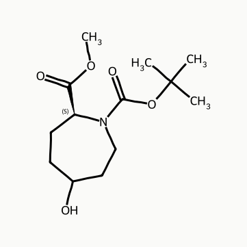 COC(=O)[C@@H]1CCC(O)CCN1C(=O)OC(C)(C)C